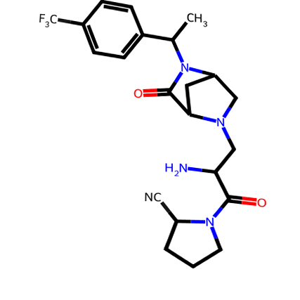 CC(c1ccc(C(F)(F)F)cc1)N1C(=O)C2CC1CN2CC(N)C(=O)N1CCCC1C#N